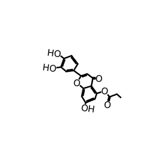 CCC(=O)Oc1cc(O)cc2oc(-c3ccc(O)c(O)c3)cc(=O)c12